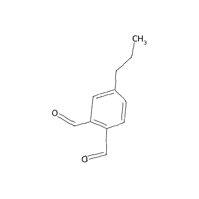 CCCc1ccc(C=O)c(C=O)c1